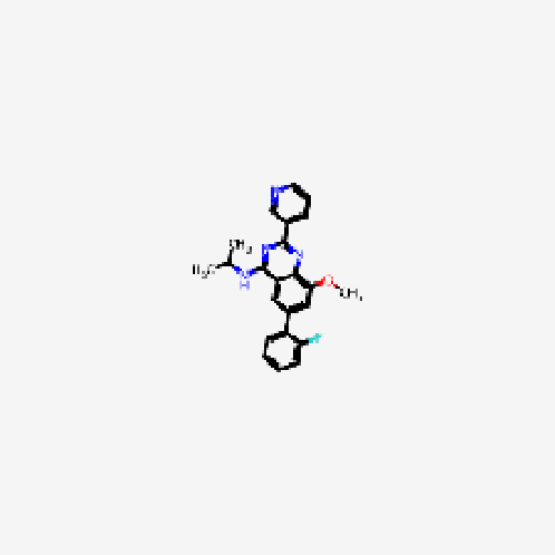 COc1cc(-c2ccccc2F)cc2c(NC(C)C)nc(-c3cccnc3)nc12